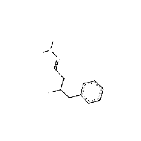 CC(C)(C)[S+]([O-])/N=C/CC(Cc1ccccc1)C(=O)O